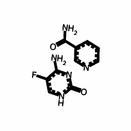 NC(=O)c1cccnc1.Nc1nc(=O)[nH]cc1F